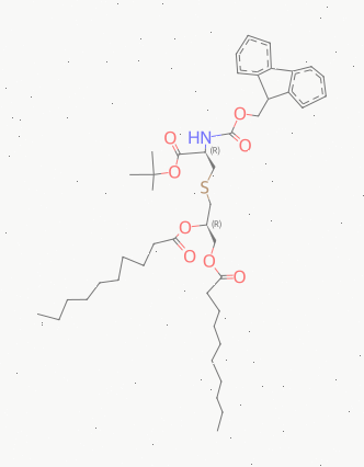 CCCCCCCCCC(=O)OC[C@H](CSC[C@H](NC(=O)OCC1c2ccccc2-c2ccccc21)C(=O)OC(C)(C)C)OC(=O)CCCCCCCCC